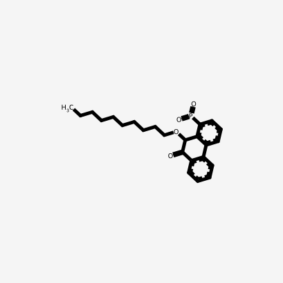 CCCCCCCCCCOC1C(=O)c2ccccc2-c2cccc(P(=O)=O)c21